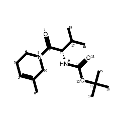 CC1=CCCN(C(=O)[C@@H](NC(=O)OC(C)(C)C)C(C)C)C1